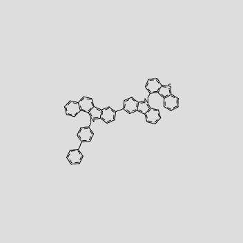 c1ccc(-c2ccc(-n3c4ccc(-c5ccc6c(c5)c5ccccc5n6-c5cccc6sc7ccccc7c56)cc4c4ccc5ccccc5c43)cc2)cc1